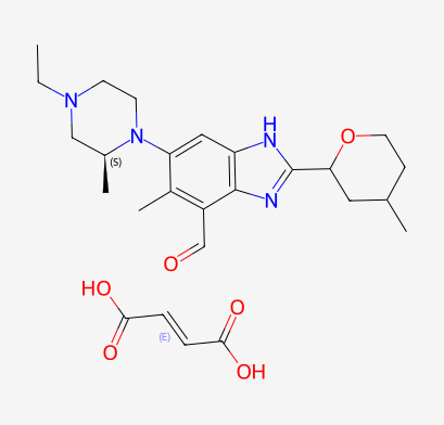 CCN1CCN(c2cc3[nH]c(C4CC(C)CCO4)nc3c(C=O)c2C)[C@@H](C)C1.O=C(O)/C=C/C(=O)O